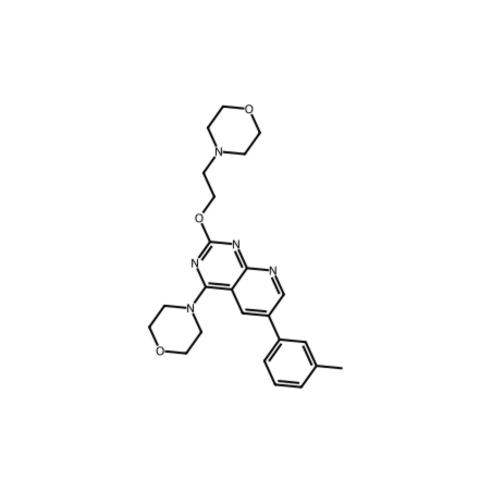 Cc1cccc(-c2cnc3nc(OCCN4CCOCC4)nc(N4CCOCC4)c3c2)c1